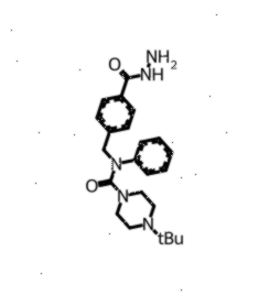 CC(C)(C)N1CCN(C(=O)N(Cc2ccc(C(=O)NN)cc2)c2ccccc2)CC1